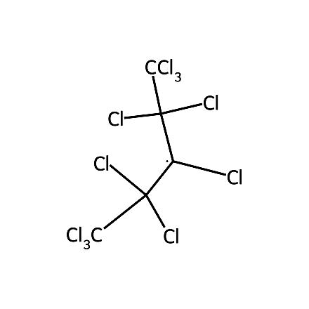 Cl[C](C(Cl)(Cl)C(Cl)(Cl)Cl)C(Cl)(Cl)C(Cl)(Cl)Cl